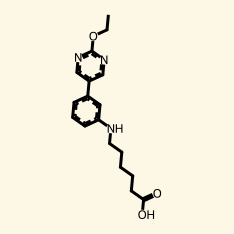 CCOc1ncc(-c2cccc(NCCCCCC(=O)O)c2)cn1